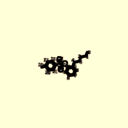 CCCCCc1ccccc1OS(=O)(=O)c1ccc(C)cc1